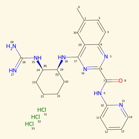 Cc1ccc2nc(C(=O)Nc3ccccn3)nc(N[C@H]3CCCC[C@H]3NC(=N)N)c2c1.Cl.Cl.Cl